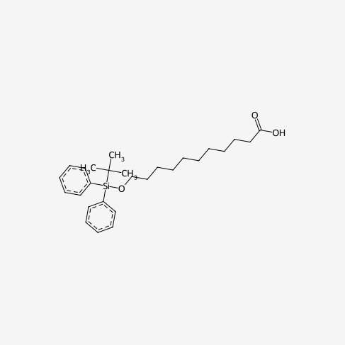 CC(C)(C)[Si](OCCCCCCCCCCC(=O)O)(c1ccccc1)c1ccccc1